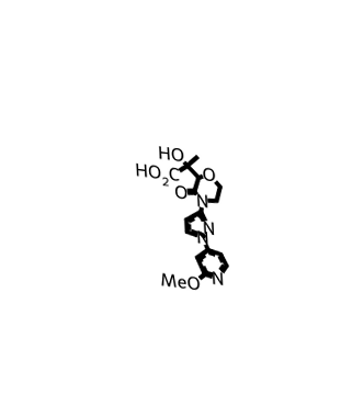 COc1cc(-n2ccc(N3CCOC(C(C)(O)C(=O)O)C3=O)n2)ccn1